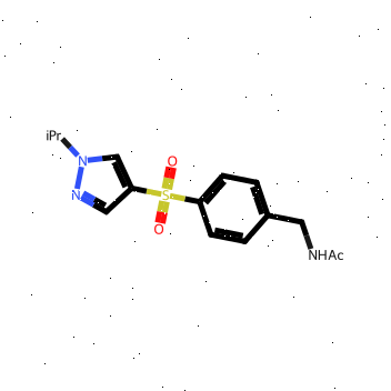 CC(=O)NCc1ccc(S(=O)(=O)c2cnn(C(C)C)c2)cc1